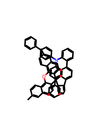 Cc1ccc2c3c(ccc2c1)C1(c2ccccc2-c2ccc(-c4ccccc4N(c4ccc(-c5ccccc5)cc4)c4ccc(-c5ccccc5)cc4)cc21)c1ccc2cc(C)ccc2c1O3